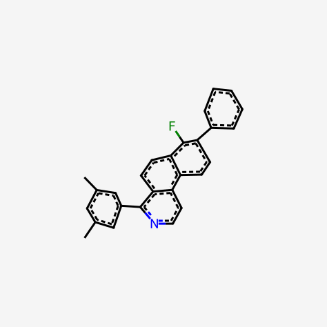 Cc1cc(C)cc(-c2nccc3c2ccc2c(F)c(-c4ccccc4)ccc23)c1